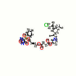 C=C[C@]1(C)CC[C@@H](C(=C)CN2CCC(OC(=O)CCC(=O)OCC#CCOc3nonc3S(=O)(=O)c3ccccc3)C2)C[C@H]1C(=C)CCl